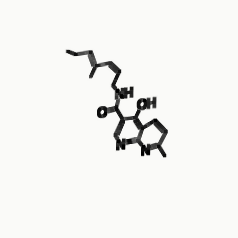 CC/C=C(C)/C=C\CNC(=O)c1cnc2nc(C)ccc2c1O